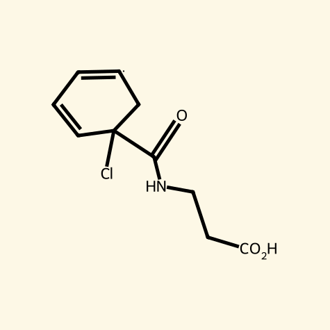 O=C(O)CCNC(=O)C1(Cl)C=CC=[C]C1